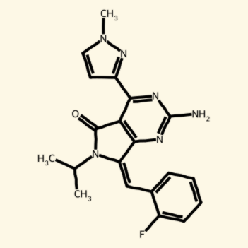 CC(C)N1C(=O)c2c(nc(N)nc2-c2ccn(C)n2)/C1=C\c1ccccc1F